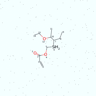 C=CC(=O)OC[SiH2]C(CC)C(C)OCC